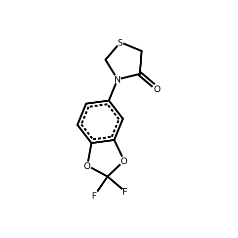 O=C1CSCN1c1ccc2c(c1)OC(F)(F)O2